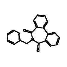 O=c1c2ccccc2c2ccccc2c(=O)n1Cc1ccccc1